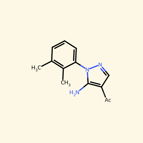 CC(=O)c1cnn(-c2cccc(C)c2C)c1N